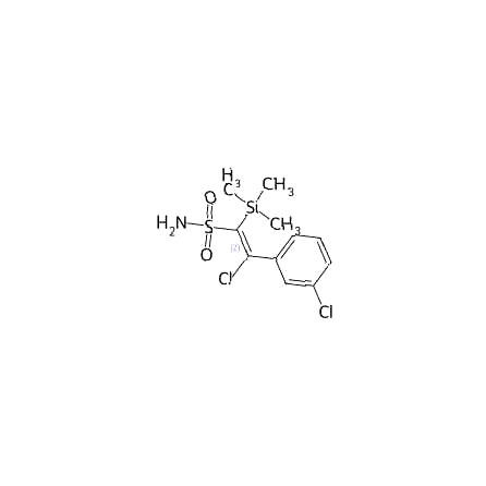 C[Si](C)(C)/C(=C(/Cl)c1cccc(Cl)c1)S(N)(=O)=O